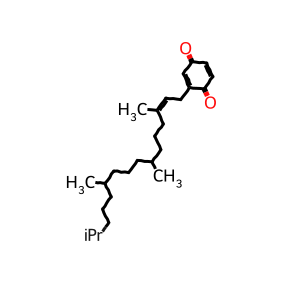 CC(=CCC1=CC(=O)C=CC1=O)CCCC(C)CCCC(C)CCCC(C)C